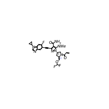 C=CC(=O)N1C[C@@H](n2nc(C#Cc3cc4ncn(C5CC5)c4cc3F)c(C(N)=O)c2NC)C/C1=C\OC(F)F